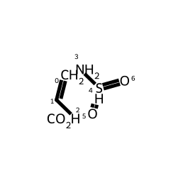 C=CC(=O)O.N[SH](=O)=O